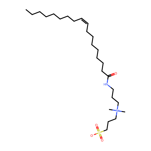 CCCCCCCC/C=C\CCCCCCCC(=O)NCCC[N+](C)(C)CCCS(=O)(=O)[O-]